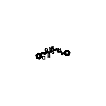 O=C(C=Cc1ccccc1Cl)Nc1nnc(NCCSc2ccccc2)s1